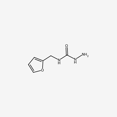 NNC(=O)NCc1ccco1